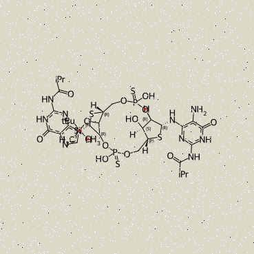 CC(C)C(=O)Nc1nc(N[C@@H]2S[C@@H]3COP(O)(=S)O[C@@H]4C(O[Si](C)(C)C(C)(C)C)[C@@H](COP(O)(=S)O[C@@H]2[C@@H]3O)S[C@H]4n2cnc3c(=O)[nH]c(NC(=O)C(C)C)nc32)c(N)c(=O)[nH]1